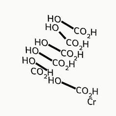 O=C(O)O.O=C(O)O.O=C(O)O.O=C(O)O.O=C(O)O.O=C(O)O.[Cr]